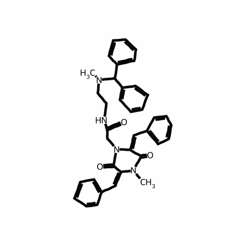 CN(CCNC(=O)Cn1c(=O)c(=Cc2ccccc2)n(C)c(=O)c1=Cc1ccccc1)C(c1ccccc1)c1ccccc1